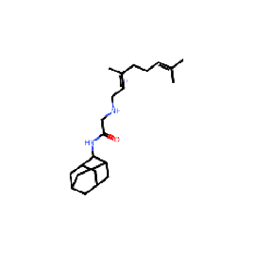 CC(C)=CCC/C(C)=C/CNCC(=O)NC1C2CC3CC(C2)CC1C3